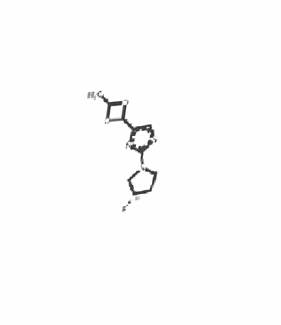 CC1OC(c2csc(N3CC[C@H](F)C3)n2)O1